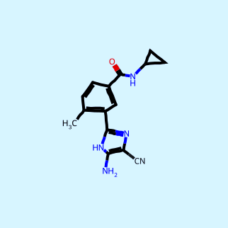 Cc1ccc(C(=O)NC2CC2)cc1-c1nc(C#N)c(N)[nH]1